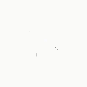 N/C=C(/N)F